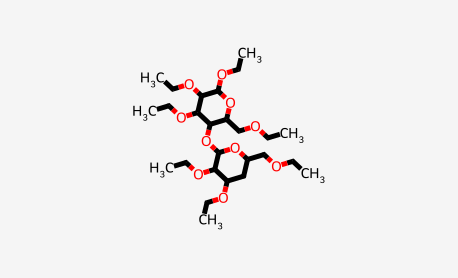 CCOCC1CC(OCC)C(OCC)C(OC2C(COCC)OC(OCC)C(OCC)C2OCC)O1